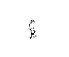 CC(C)(C)c1cc(C(=O)NCCCN)ccc1O